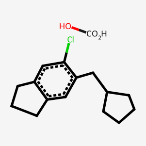 Clc1cc2c(cc1CC1CCCC1)CCC2.O=C(O)O